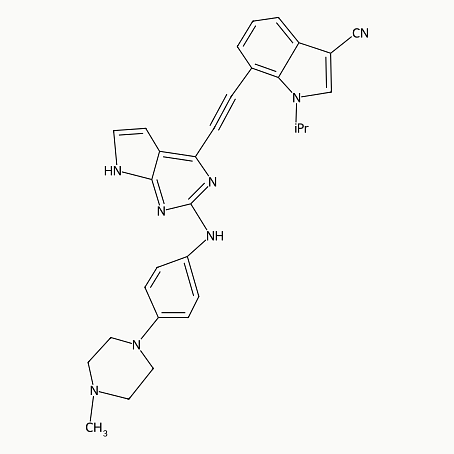 CC(C)n1cc(C#N)c2cccc(C#Cc3nc(Nc4ccc(N5CCN(C)CC5)cc4)nc4[nH]ccc34)c21